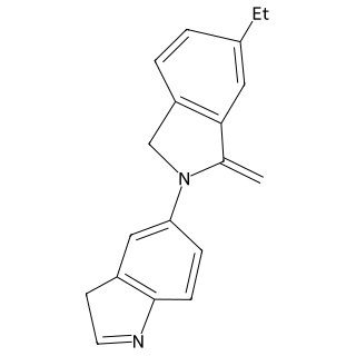 C=C1c2cc(CC)ccc2CN1c1ccc2c(c1)CC=N2